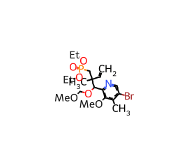 C=CC(C)(CP(=O)(OCC)OCC)C(OCOC)c1ncc(Br)c(C)c1OC